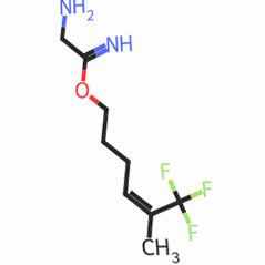 C/C(=C/CCCOC(=N)CN)C(F)(F)F